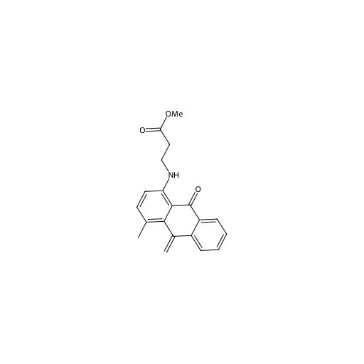 C=C1c2ccccc2C(=O)c2c(NCCC(=O)OC)ccc(C)c21